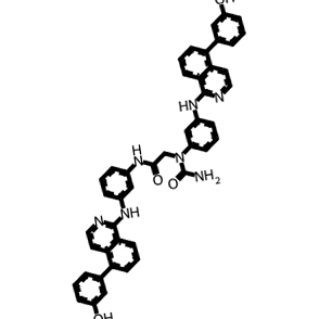 NC(=O)N(CC(=O)Nc1cccc(Nc2nccc3c(-c4cccc(O)c4)cccc23)c1)c1cccc(Nc2nccc3c(-c4cccc(O)c4)cccc23)c1